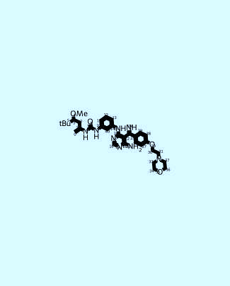 C=C(CC(OC)C(C)(C)C)NC(=O)Nc1cccc(Nc2ncnc(N)c2C(=N)c2ccc(OCCN3CCOCC3)cc2)c1